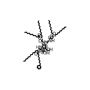 CCCCCCCCCCC[C@H](CC(=O)NCCO[C@@H]1OC(CO)[C@@H](OP(=O)(O)O)C(NC(=O)C[C@@H](CCCCCCCCCCC)OC(=O)CCCCCCCc2ccccc2)C1CNC(=O)C[C@@H](CCCCCCCCCCC)OC(=O)CCCCCCCCC)OC(=O)CCCCCCCCC